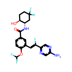 Nc1cnc(/C(F)=C/c2cc(C(=O)N[C@H]3CC(F)(F)CC[C@@H]3O)ccc2OC(F)F)cn1